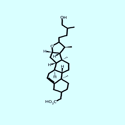 CC(CO)CCC1O[C@H]2C[C@H]3[C@@H]4CC=C5CC(CC(=O)O)CC[C@]5(C)[C@H]4CC[C@]3(C)[C@H]2[C@@H]1C